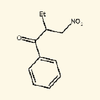 CCC(C[N+](=O)[O-])C(=O)c1ccccc1